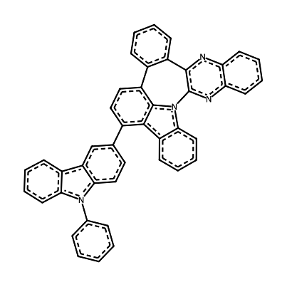 c1ccc(-n2c3ccccc3c3cc(-c4ccc5c6c4c4ccccc4n6-c4nc6ccccc6nc4-c4ccccc4-5)ccc32)cc1